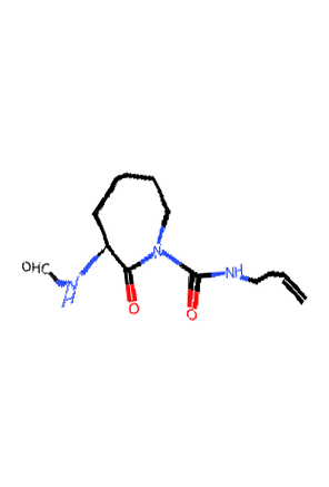 C=CCNC(=O)N1CCCC[C@H](NC=O)C1=O